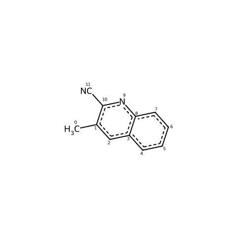 Cc1cc2ccccc2nc1C#N